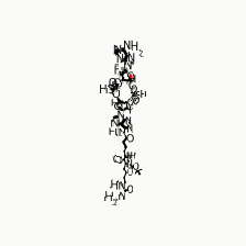 CC(C)(C)OC(=O)N[C@@H](CCCCNC(N)=O)C(=O)NCCCC(=O)Nc1ncnc2c1ncn2[C@@H]1O[C@@H]2CO[P@@](=O)(S)OC3[C@@H](F)[C@H](n4cnc5c(N)ncnc54)O[C@@H]3CO[P@@](=O)(S)OC2[C@H]1F